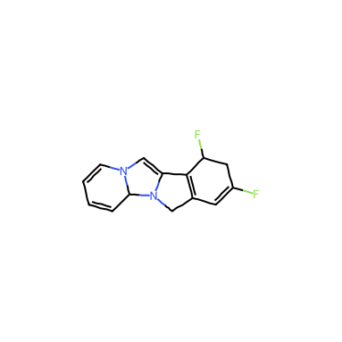 FC1=CC2=C(C3=CN4C=CC=CC4N3C2)C(F)C1